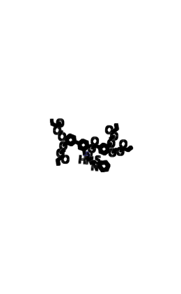 C=CC(=O)OCOc1ccc(C(=O)Oc2ccc(-c3ccc(OCOC(=O)CC)c(OCOC(=O)C=C)c3)cc2/C=N/Nc2nc3ccccc3s2)cc1OCOC(=O)C=C